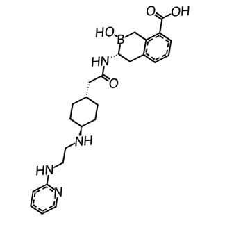 O=C(C[C@H]1CC[C@H](NCCNc2ccccn2)CC1)N[C@H]1Cc2cccc(C(=O)O)c2CB1O